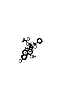 CC(C)C(=O)OCC(=O)[C@@]12O[C@H](C3CCCCC3)OC1C[C@H]1[C@@H]3CCC4=CC(=O)C=C[C@]4(C)[C@H]3C(O)C[C@@]12C